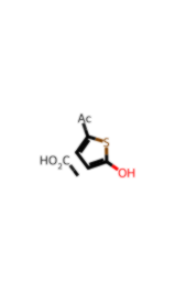 CC(=O)O.CC(=O)c1ccc(O)s1